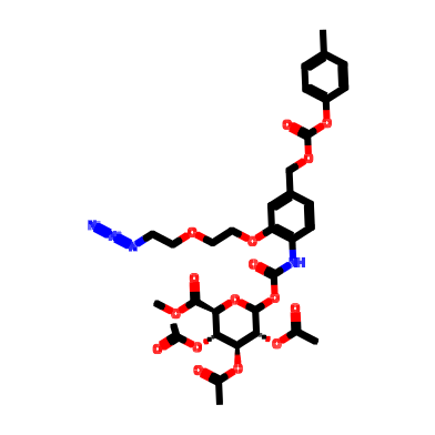 COC(=O)[C@H]1OC(OC(=O)Nc2ccc(COC(=O)Oc3ccc(C)cc3)cc2OCCOCCN=[N+]=[N-])[C@H](OC(C)=O)[C@@H](OC(C)=O)[C@@H]1OC(C)=O